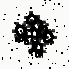 O=S(=O)(O)CCC(S(c1ccccc1)(c1ccccc1)c1ccccc1)(S(c1ccccc1)(c1ccccc1)c1ccccc1)S(=O)(=O)O